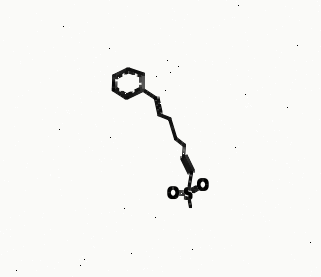 CS(=O)(=O)C#CCCCC=Cc1ccccc1